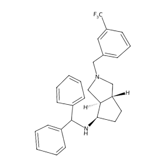 FC(F)(F)c1cccc(CN2C[C@@H]3CC[C@@H](NC(c4ccccc4)c4ccccc4)[C@H]3C2)c1